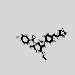 CCOC(=O)c1cn(-c2ccc(C=Cc3cscn3)cc2)nc1N(C(=O)[C@H]1CC[C@H](C)CC1)C(C)C